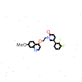 COc1ccc2c(OCCn3cc(-c4cccc(F)c4F)ccc3=O)ccnc2c1